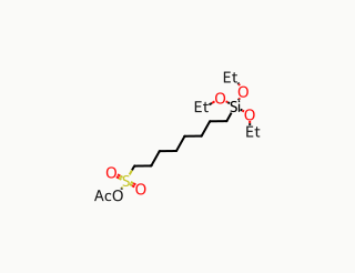 CCO[Si](CCCCCCCCS(=O)(=O)OC(C)=O)(OCC)OCC